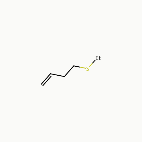 C=CCCSCC